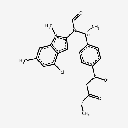 COC(=O)C[S+]([O-])c1ccc([C@@H](C)N(C=O)c2cc3c(Cl)cc(C)cc3n2C)cc1